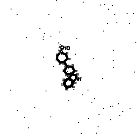 O=CN1CCCC(N2CCC3(CC2)CNc2ccccc23)CC1